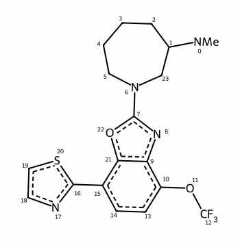 CNC1CCCCN(c2nc3c(OC(F)(F)F)ccc(-c4nccs4)c3o2)C1